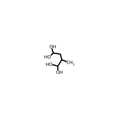 CC(CC(O)O)C(O)O